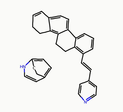 C1=CC2=CC=C(CC2)N1.C1=Cc2ccc3c(c2CC1)CCc1c(/C=C/c2ccncc2)cccc1-3